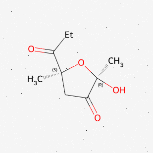 CCC(=O)[C@]1(C)CC(=O)[C@](C)(O)O1